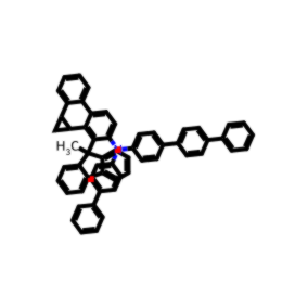 CC1(c2c(N(c3ccc(-c4ccccc4)cc3)c3ccc(-c4ccc(-c5ccccc5)cc4)cc3)ccc3c2C2CC2c2ccccc2-3)c2ccccc2-c2ccccc21